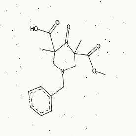 COC(=O)C1(C)CN(Cc2ccccc2)CC(C)(C(=O)O)C1=O